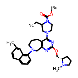 Cc1ccc2cccc(N3CCCc4c(nc(OC[C@@H]5CCCN5C)nc4N4CCN(C(=O)OC(C)(C)C)C(CC#N)C4)C3)c2c1